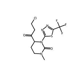 CN1CCC(C(=O)CCCl)N(c2nnc(C(F)(F)F)s2)C1=O